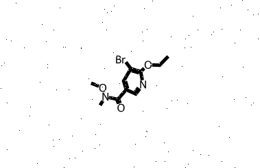 CCOc1ncc(C(=O)N(C)OC)cc1Br